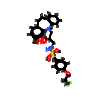 O=S(=O)(NC[C@@H](O)CN1c2ccccc2CCc2ccccc21)c1ccc(OCF)cc1